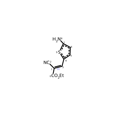 CCOC(=O)/C(C#N)=C/c1ccc(N)s1